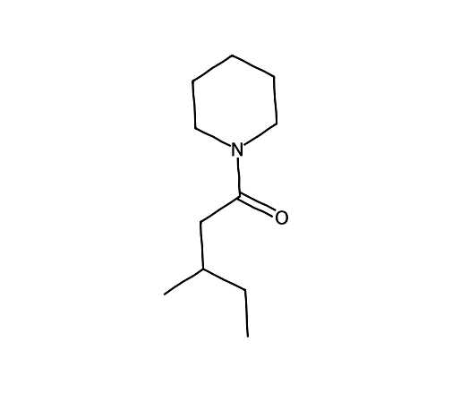 CCC(C)CC(=O)N1CCCCC1